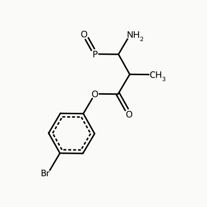 CC(C(=O)Oc1ccc(Br)cc1)C(N)P=O